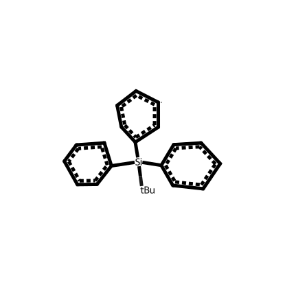 CC(C)(C)[Si](c1c[c]ccc1)(c1ccccc1)c1ccccc1